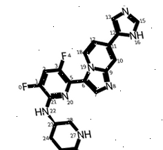 Fc1cc(F)c(-c2cnc3cc(-c4cnc[nH]4)ccn23)nc1N[C@@H]1CCCNC1